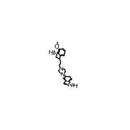 COc1cccc2c1NCC2CCN1CCN(c2ccc3[nH]ccc3c2)CC1